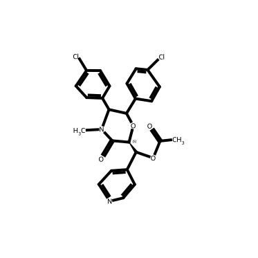 CC(=O)OC(c1ccncc1)[C@@H]1OC(c2ccc(Cl)cc2)C(c2ccc(Cl)cc2)N(C)C1=O